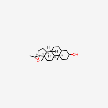 CC1O[C@@]12CC[C@H]1[C@@H]3CCC4CC(O)CC[C@]4(C)[C@H]3CC[C@@]12C